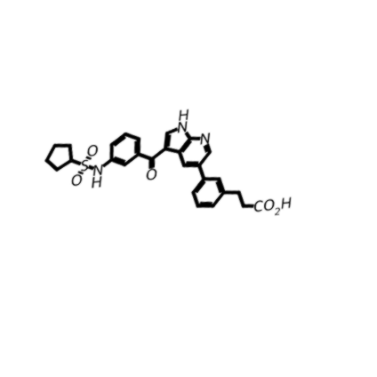 O=C(O)CCc1cccc(-c2cnc3[nH]cc(C(=O)c4cccc(NS(=O)(=O)C5CCCC5)c4)c3c2)c1